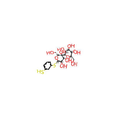 OC[C@H]1O[C@@H]([C@]2(O)[C@H](O)[C@@H](O)[C@H](Sc3cccc(S)c3)O[C@@H]2CO)[C@H](O)[C@@H](O)[C@@H]1O